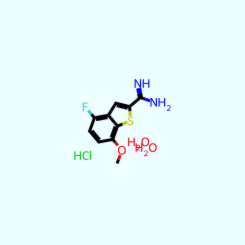 COc1ccc(F)c2cc(C(=N)N)sc12.Cl.O.O